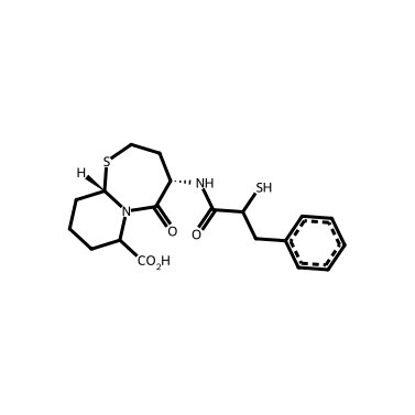 O=C(N[C@H]1CCS[C@H]2CCCC(C(=O)O)N2C1=O)C(S)Cc1ccccc1